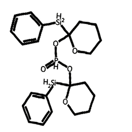 O=[PH](OC1([SiH2]c2ccccc2)CCCCO1)OC1([SiH2]c2ccccc2)CCCCO1